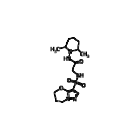 CC1CCCC(C)N1NC(=O)CNS(=O)(=O)c1cnn2c1OCCC2